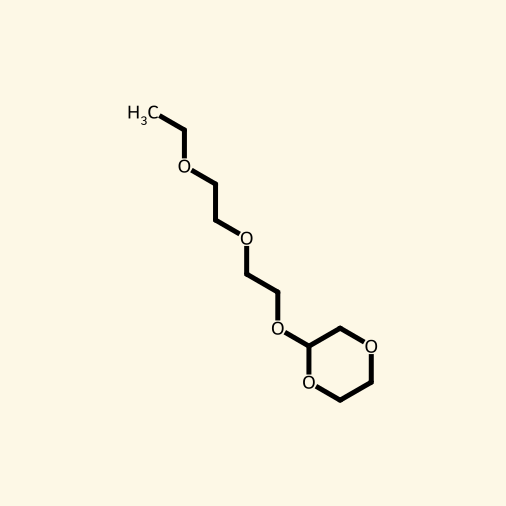 CCOCCOCCOC1COCCO1